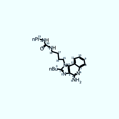 CCCCc1nc2c(N)nc3ccccc3c2n1CCCCNC(=O)NCCC